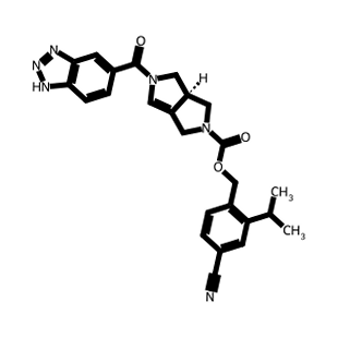 CC(C)c1cc(C#N)ccc1COC(=O)N1CC2=CN(C(=O)c3ccc4[nH]nnc4c3)C[C@H]2C1